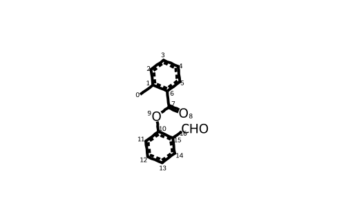 Cc1ccccc1C(=O)Oc1ccccc1C=O